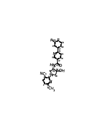 Cc1ccc(C#N)c(N2C[C@H](NC(=O)c3ccc(-c4cccc(F)c4)nc3)[C@@H](O)C2)n1